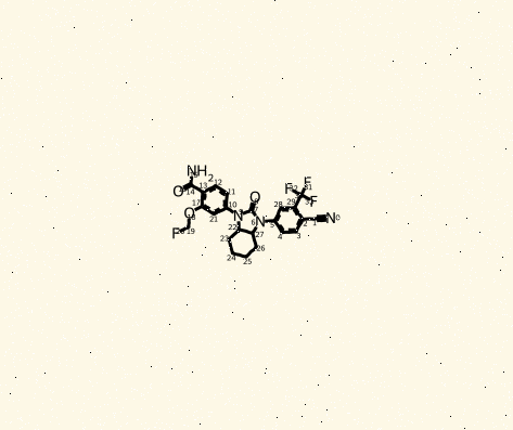 N#Cc1ccc(N2C(=O)N(c3ccc(C(N)=O)c(OCF)c3)C3CCCCC32)cc1C(F)(F)F